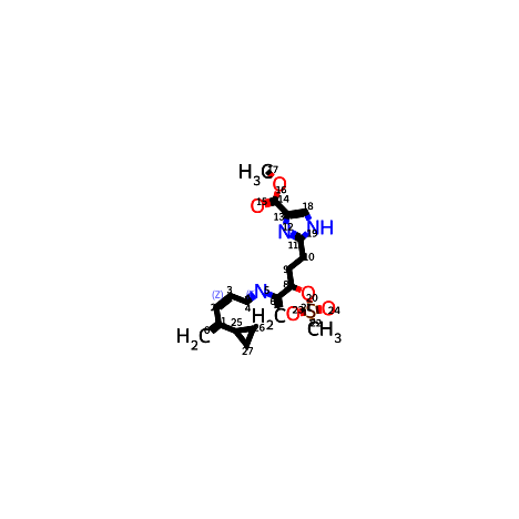 C=C(/C=C\C=N\C(=C)C(CCc1nc(C(=O)OC)c[nH]1)OS(C)(=O)=O)C1CC1